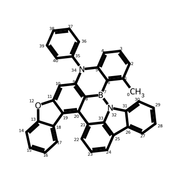 Cc1cccc2c1B1c3c(cc4oc5ccccc5c4c3-c3cccc4c5ccccc5n1c34)N2c1ccccc1